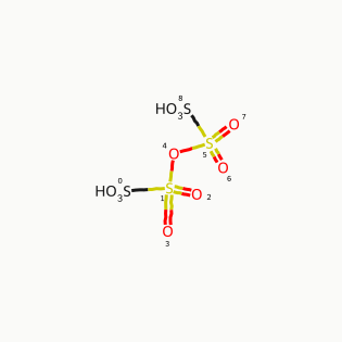 O=S(=O)(O)S(=O)(=O)OS(=O)(=O)S(=O)(=O)O